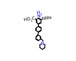 CNc1cc(-c2ccc(-c3cccc(CN4CCCCC4)c3)cc2)cc(C(=O)O)c1N